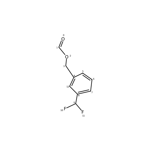 O=COCc1cccc(C(F)F)c1